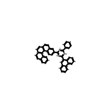 c1ccc(-c2nc(-c3ccc4c(ccc5ccc6ccc7ccccc7c6c54)c3)nc(-c3cc4ccccc4c4ccccc34)n2)cc1